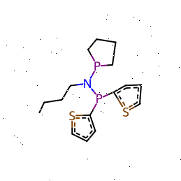 CCCCN(P1CCCC1)P(c1cccs1)c1cccs1